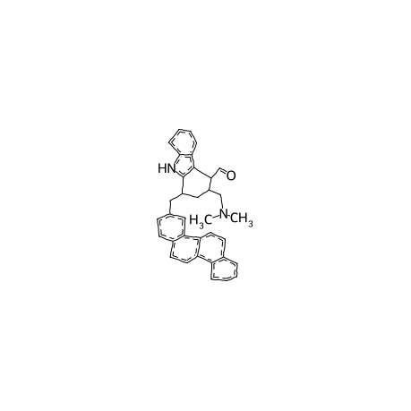 CN(C)CC1CC(Cc2ccc3ccc4c5ccccc5ccc4c3c2)c2[nH]c3ccccc3c2C1C=O